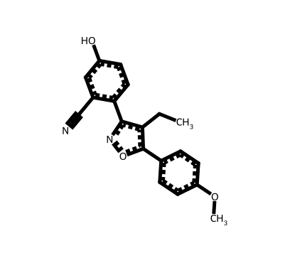 CCc1c(-c2ccc(O)cc2C#N)noc1-c1ccc(OC)cc1